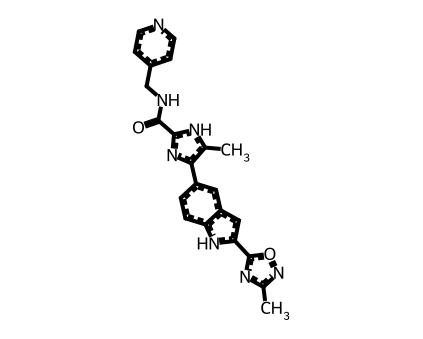 Cc1noc(-c2cc3cc(-c4nc(C(=O)NCc5ccncc5)[nH]c4C)ccc3[nH]2)n1